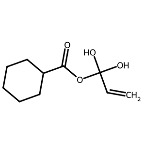 C=CC(O)(O)OC(=O)C1CCCCC1